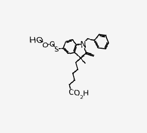 C=C1N(Cc2ccccc2)c2ccc(SOOO)cc2C1(C)CCCCCC(=O)O